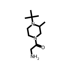 CC1CN(C(=O)CN)CCN1C(C)(C)C